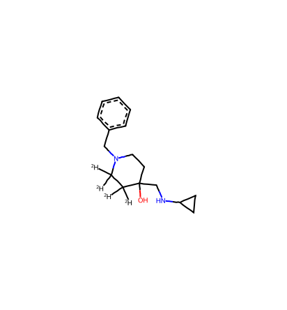 [2H]C1([2H])N(Cc2ccccc2)CCC(O)(CNC2CC2)C1([2H])[2H]